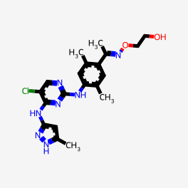 C/C(=N\OCCO)c1cc(C)c(Nc2ncc(Cl)c(Nc3cc(C)[nH]n3)n2)cc1C